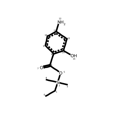 CC[Si](C)(C)OC(=O)c1ccc(N)cc1O